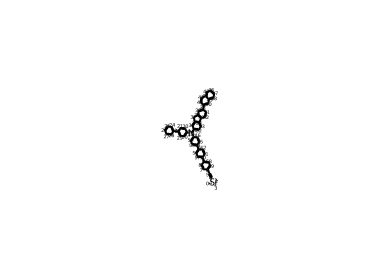 C[Si](C)(C)C#Cc1ccc(-c2ccc(-c3ccc(N(c4ccc(-c5ccccc5)cc4)c4ccc5c(c4)Cc4cc(-c6ccc7ccccc7c6)ccc4-5)cc3)cc2)cc1